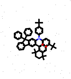 Cc1ccc2c(c1-c1cc3c(cc1N(c1ccc(C(C)(C)C)cc1)c1ccc(C(C)(C)C)cc1)C(c1ccccc1)(c1ccccc1)c1ccccc1-3)C(C)(C)CCC2(C)C